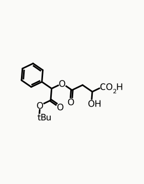 CC(C)(C)OC(=O)C(OC(=O)CC(O)C(=O)O)c1ccccc1